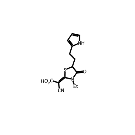 CCN1C(=O)C(CCc2ccc[nH]2)S/C1=C(/C#N)C(=O)O